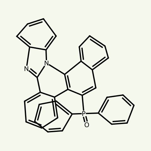 O=P(c1ccccc1)(c1ccccc1)c1cc2ccccc2c2c1c1ccccc1c1nc3ccccc3n12